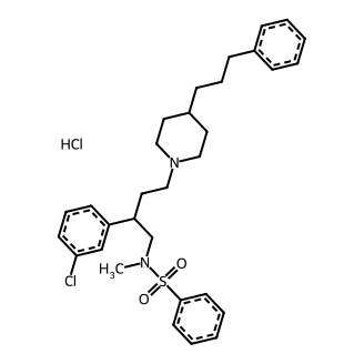 CN(CC(CCN1CCC(CCCc2ccccc2)CC1)c1cccc(Cl)c1)S(=O)(=O)c1ccccc1.Cl